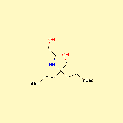 CCCCCCCCCCCCC(CO)(CCCCCCCCCCCC)NCCO